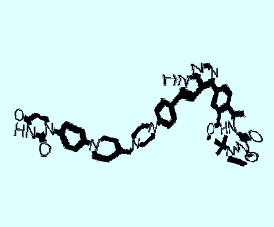 COCc1cc(-c2ncnc3[nH]c(-c4ccc(N5CCN(CC6CCN(c7ccc(N8CCC(=O)NC8=O)cc7)CC6)CC5)cc4)cc23)ccc1C(C)NC(=O)N1OC=CN1C(C)(C)C